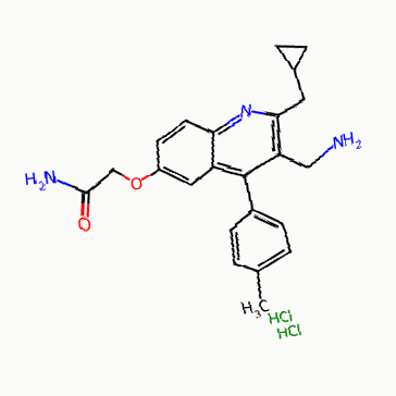 Cc1ccc(-c2c(CN)c(CC3CC3)nc3ccc(OCC(N)=O)cc23)cc1.Cl.Cl